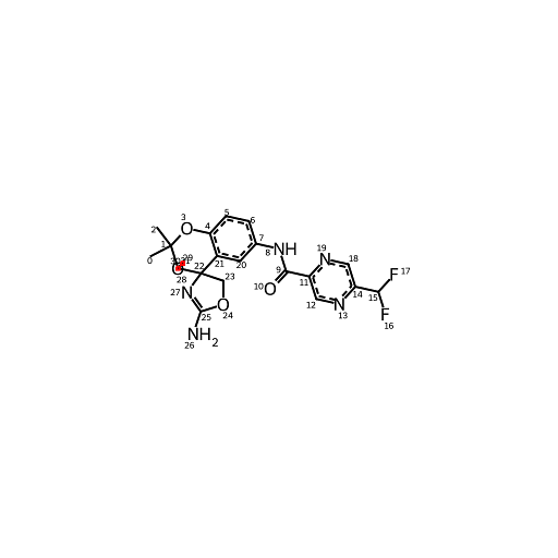 CC1(C)Oc2ccc(NC(=O)c3cnc(C(F)F)cn3)cc2C2(COC(N)=N2)C12COC2